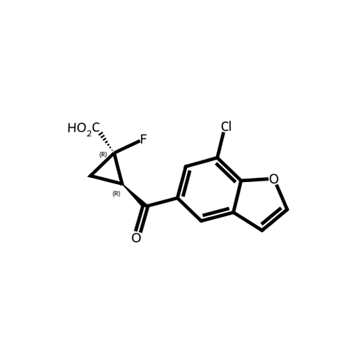 O=C(c1cc(Cl)c2occc2c1)[C@H]1C[C@]1(F)C(=O)O